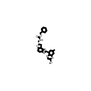 COc1cnc2c(-c3nc4ccc5c(c4s3)C[C@@H](CNC(=O)OCc3ccccc3)O5)cc(C)cc2n1